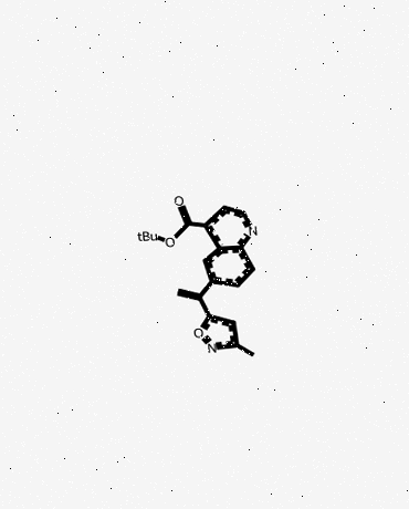 C=C(c1ccc2nccc(C(=O)OC(C)(C)C)c2c1)c1cc(C)no1